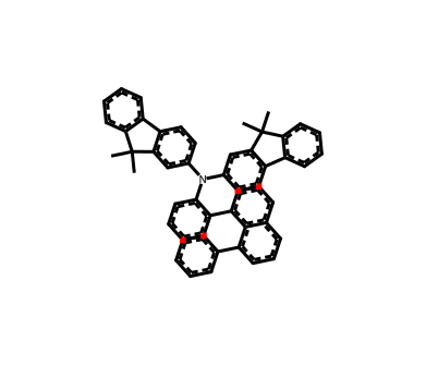 CC1(C)c2ccccc2-c2ccc(N(c3ccc4c(c3)C(C)(C)c3ccccc3-4)c3ccccc3-c3cccc4cccc(-c5ccccc5)c34)cc21